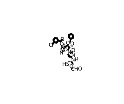 [N-]=[N+]=N[C@]1(COC(=O)c2cccc(Cl)c2)OC(n2ccc(N[C@@H](CS)COC=O)nc2=O)[C@@H](F)C1OC(=O)c1ccccc1